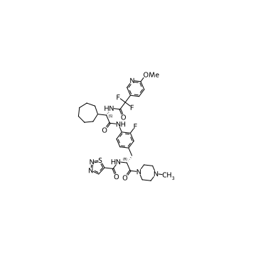 COc1ccc(C(F)(F)C(=O)N[C@H](C(=O)Nc2ccc(C[C@@H](NC(=O)c3cnns3)C(=O)N3CCN(C)CC3)cc2F)C2CCCCCC2)cn1